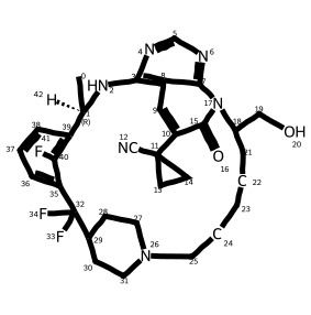 C[C@H]1Nc2ncnc3c2cc(C2(C#N)CC2)c(=O)n3C(CO)CCCCCN2CCC(CC2)C(F)(F)c2cccc1c2F